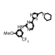 COc1cc(Nc2nccc(-c3ncc(CN4CCCCC4)s3)n2)cc(C(F)(F)F)c1